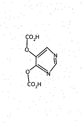 O=C(O)Oc1cncnc1OC(=O)O